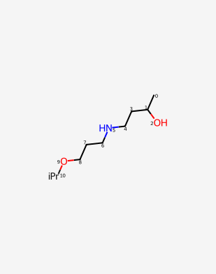 CC(O)CCNCCCOC(C)C